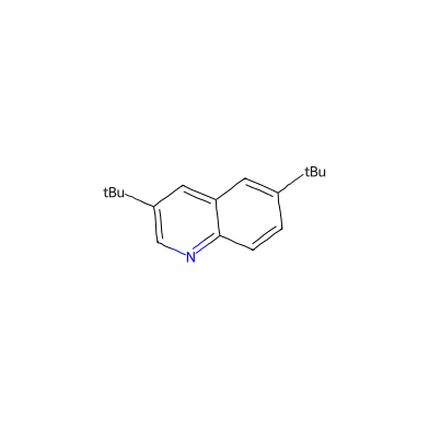 CC(C)(C)c1ccc2ncc(C(C)(C)C)cc2c1